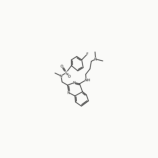 CN(C)CCCNc1nc(CN(C)S(=O)(=O)c2ccc(F)cc2)nc2ccccc12